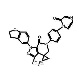 CCOC(=O)c1nn(-c2ccc3c(c2)CCO3)c2c1C1(CC1)CN(c1ccc(-n3ccncc3=O)cc1)C2=O